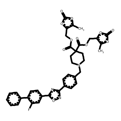 Cc1oc(=O)oc1COC(=O)C1(C(=O)OCc2oc(=O)oc2C)CCN(Cc2ccc(-c3noc(-c4ccc(-c5ccccc5)c(F)c4)n3)cc2)CC1